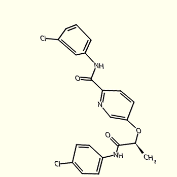 C[C@H](Oc1ccc(C(=O)Nc2cccc(Cl)c2)nc1)C(=O)Nc1ccc(Cl)cc1